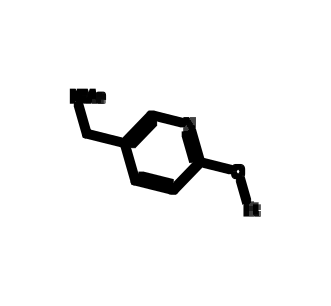 CCOc1ccc(CNC)cn1